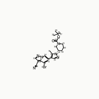 Cc1c(-c2cc(Br)c3c(C#N)cnn3c2)cnn1[C@H]1CCCN(C(=O)OC(C)(C)C)C1